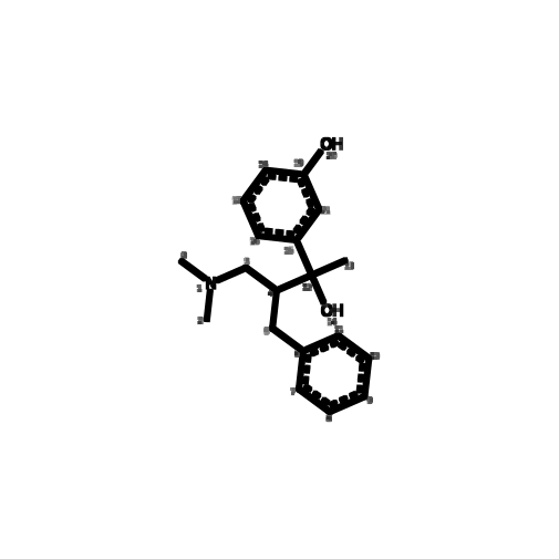 CN(C)CC(Cc1ccccc1)C(C)(O)c1cccc(O)c1